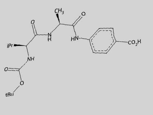 CC(C)[C@H](NC(=O)OC(C)(C)C)C(=O)N[C@@H](C)C(=O)Nc1ccc(C(=O)O)cc1